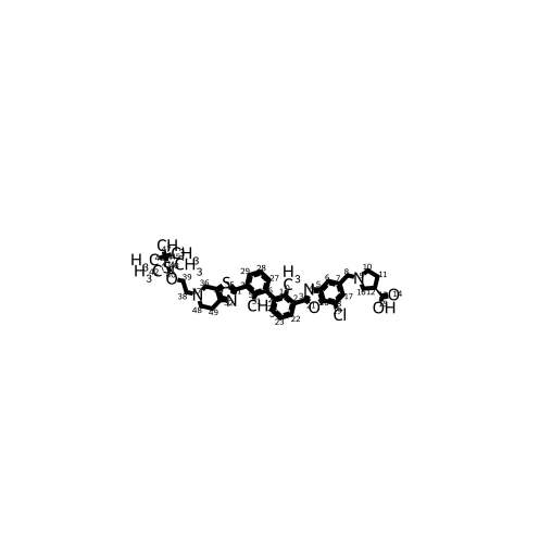 Cc1c(-c2nc3cc(CN4CC[C@@H](C(=O)O)C4)cc(Cl)c3o2)cccc1-c1cccc(-c2nc3c(s2)CN(CCO[Si](C)(C)C(C)(C)C)CC3)c1C